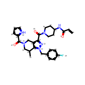 C=CC(=O)NC1CCN(C(=O)c2nn(Cc3ccc(F)cc3)c3c2CN(C(=O)c2ccc[nH]2)CC3C)CC1